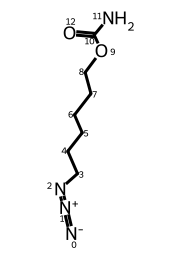 [N-]=[N+]=NCCCCCCOC(N)=O